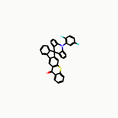 O=c1c2ccccc2sc2cc3c(cc12)-c1ccccc1C31c2ccccc2N(c2cc(F)ccc2F)c2ccccc21